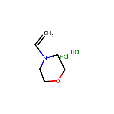 C=CN1CCOCC1.Cl.Cl